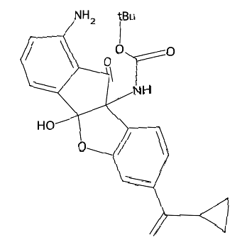 C=C(c1ccc2c(c1)OC1(O)c3cccc(N)c3C(=O)C21NC(=O)OC(C)(C)C)C1CC1